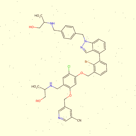 N#Cc1cncc(COc2cc(OCc3cccc(-c4cccc5c4cnn5Cc4ccc(CNC(CO)C(=O)O)cc4)c3Br)c(Cl)cc2CNC(CO)C(=O)O)c1